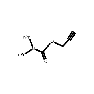 C#CCOC(=O)N(CCC)CCC